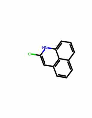 ClC1=Cc2cccc3cccc(c23)N1